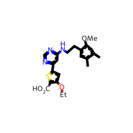 CCOc1cc(-c2cc(NCCc3cc(C)c(C)cc3OC)ncn2)sc1C(=O)O